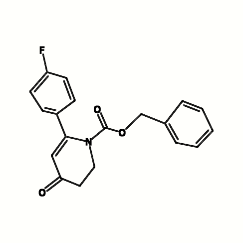 O=C1C=C(c2ccc(F)cc2)N(C(=O)OCc2ccccc2)CC1